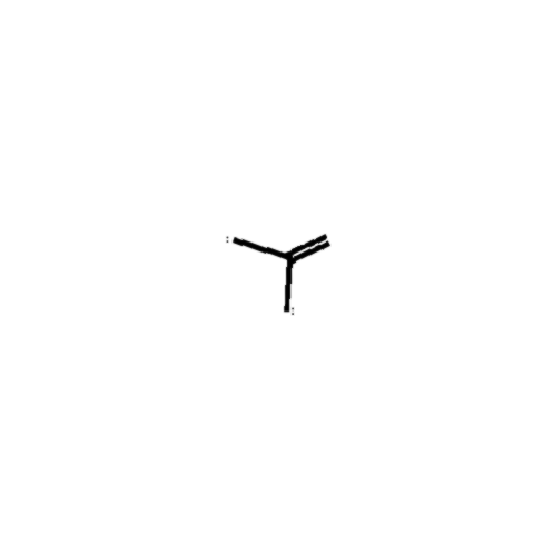 [CH]C([CH])=C